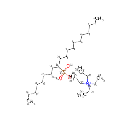 CCCCCCCCCCCC(CCCCCCCC)S(=O)(=O)[O-].CC[N+](CC)(CC)CC